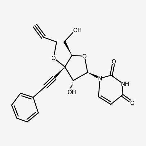 C#CCO[C@]1(C#Cc2ccccc2)[C@@H](CO)O[C@@H](n2ccc(=O)[nH]c2=O)[C@@H]1O